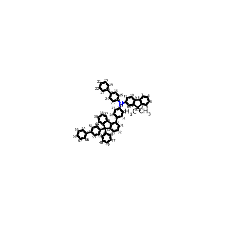 CC1(C)c2ccccc2-c2ccc(N(c3ccc(-c4ccccc4)cc3)c3ccc(-c4cccc5c4-c4ccccc4C5(c4ccccc4)c4ccc(-c5ccccc5)cc4)cc3)cc21